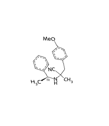 COc1ccc(CC(C)(C#N)N[C@@H](C)c2ccccc2)cc1